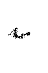 CCN1C(=O)[C@@H](CNc2cccc(C(=O)NCCCN3CCCC3)c2)S/C1=C(/N)C(=O)NC(C)(C)CC